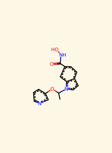 CC(Oc1cccnc1)n1ccc2ccc(C(=O)NO)cc21